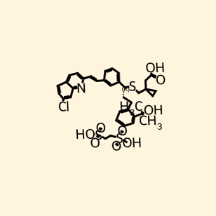 CC(C)(O)c1ccccc1CC[C@@H](SCC1(CC(=O)O)CC1)c1cccc(C=Cc2ccc3ccc(Cl)cc3n2)c1.O=S(=O)(O)CCS(=O)(=O)O